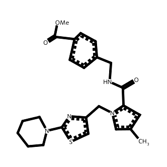 COC(=O)c1ccc(CNC(=O)c2cc(C)cn2Cc2csc(N3CCCCC3)n2)cc1